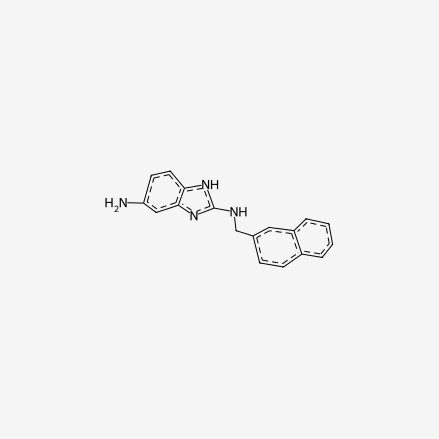 Nc1ccc2[nH]c(NCc3ccc4ccccc4c3)nc2c1